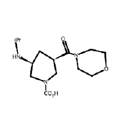 CC(C)N[C@H]1C[C@@H](C(=O)N2CCOCC2)CN(C(=O)O)C1